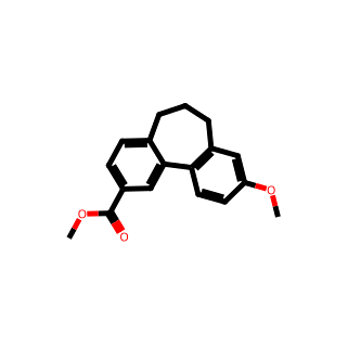 COC(=O)c1ccc2c(c1)-c1ccc(OC)cc1CCC2